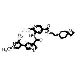 Cc1ncc(C(=O)NCCN2CCC3(CCO3)CC2)cc1NC(=O)c1cnn2cc(-c3cn(C)nc3C)sc12